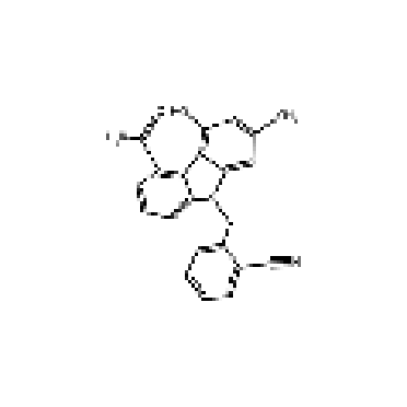 Cc1cc(O)c2c3c(C(N)=O)cccc3n(Cc3ccccc3C#N)c2c1